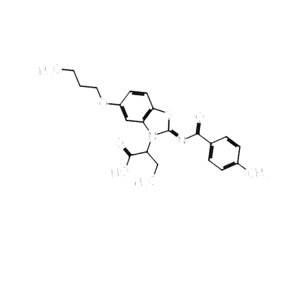 CCCCOc1ccc2sc(=NC(=O)c3ccc(C)cc3)n(C(CC)C(=O)O)c2c1